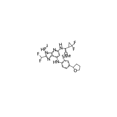 CSc1cc(C2CCCO2)ccc1Nc1cc(NC(=O)C2CC2(F)F)nc2c1nc(C(F)F)n2PI